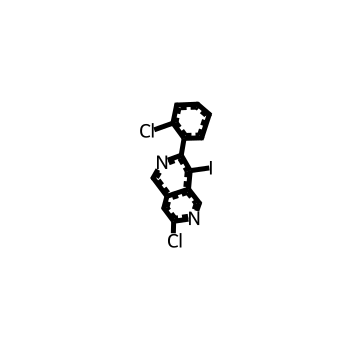 Clc1cc2cnc(-c3ccccc3Cl)c(I)c2cn1